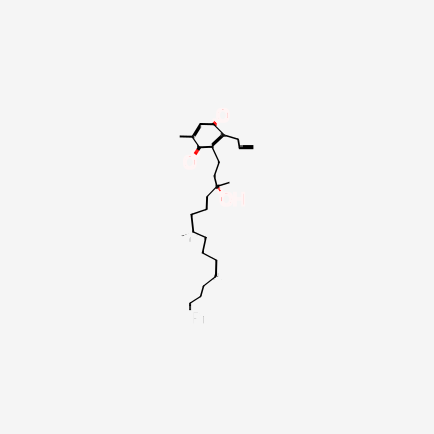 C=CCC1=C(CCC(C)(O)CCC[C@H](C)CCC[C@H](C)CCCC(C)C)C(=O)C(C)=CC1=O